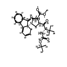 COC(=O)[C@@H]1C[C@@H](C23CC=CC=C2c2ccccc2/C3=N/O)CN1C(=O)[C@@H](NC(=O)OC(C)(C)C)C(C)(C)C